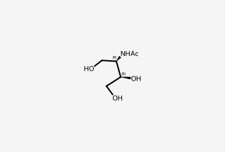 CC(=O)N[C@H](CO)[C@@H](O)CO